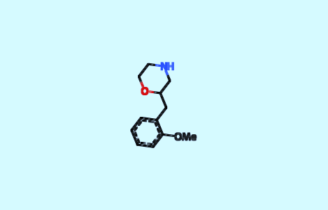 COc1ccccc1CC1CNCCO1